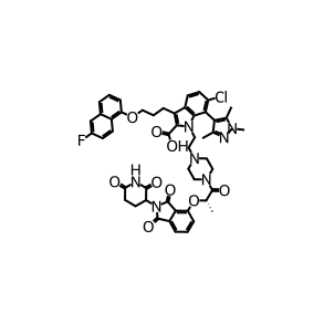 Cc1nn(C)c(C)c1-c1c(Cl)ccc2c(CCCOc3cccc4cc(F)ccc34)c(C(=O)O)n(CCN3CCN(C(=O)[C@H](C)Oc4cccc5c4C(=O)N(C4CCC(=O)NC4=O)C5=O)CC3)c12